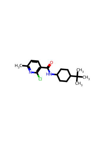 Cc1ccc(C(=O)NC2CCC(C(C)(C)C)CC2)c(Cl)n1